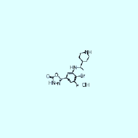 CC(Nc1cc(-c2n[nH]c(=O)o2)cc(F)c1Br)C1CCNCC1.Cl